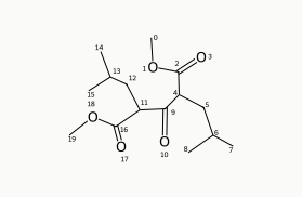 COC(=O)C(CC(C)C)C(=O)C(CC(C)C)C(=O)OC